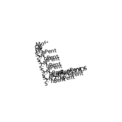 CCCCCN(CCCCC)C(=S)[S-].CCCCCN(CCCCC)C(=S)[S-].CCCCCN(CCCCC)C(=S)[S-].CCCCCN(CCCCC)C(=S)[S-].CCCCCN(CCCCC)C(=S)[S-].CCCCCN(CCCCC)C(=S)[S-].O=S.O=S.O=S.O=S.O=S.O=S.[Mo+6]